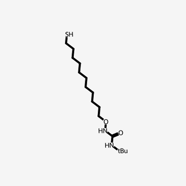 CC(C)(C)NC(=O)NOCCCCCCCCCCCS